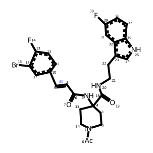 CC(=O)N1CCC(NC(=O)/C=C/c2ccc(F)c(Br)c2)(C(=O)NCCc2c[nH]c3ccc(F)cc23)CC1